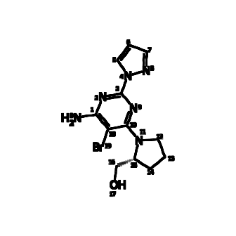 Nc1nc(-n2cccn2)nc(N2CCC[C@@H]2CO)c1Br